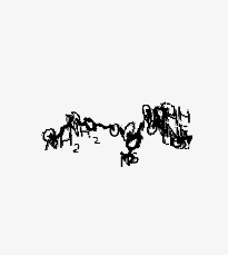 Cc1ncsc1-c1ccc(CNC(=O)[C@@H]2C[C@@H](O)CN2C(=O)[C@@H](NC(=O)C2(F)CC2)C(C)(C)C)c(OCCOCCCc2ccc(CO[C@H](C)[C@@H](N)CCC(N)=O)cc2)c1